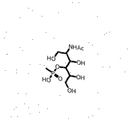 CC(=O)NC(CO)C(O)C(OP(C)(=O)O)C(O)CO